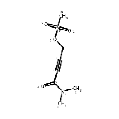 CN(C)C(=O)C#CCOS(C)(=O)=O